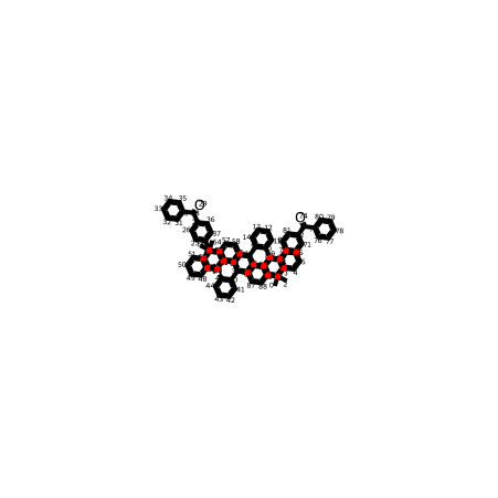 CC1(C)c2ccccc2C(c2ccccc2-c2cc(-c3cccc(-c4ccc(C(=O)c5ccccc5)cc4)c3)c(-c3ccccc3N3c4ccccc4C(C)(C)c4ccccc43)cc2-c2cccc(-c3ccc(C(=O)c4ccccc4)cc3)c2)c2ccccc21